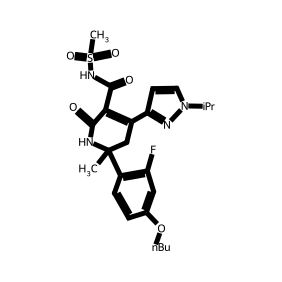 CCCCOc1ccc(C2(C)CC(c3ccn(C(C)C)n3)=C(C(=O)NS(C)(=O)=O)C(=O)N2)c(F)c1